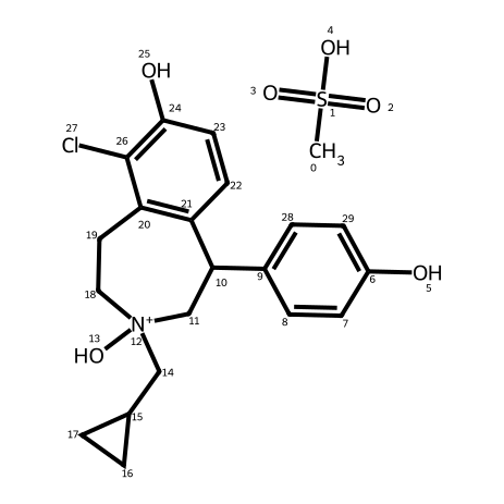 CS(=O)(=O)O.Oc1ccc(C2C[N+](O)(CC3CC3)CCc3c2ccc(O)c3Cl)cc1